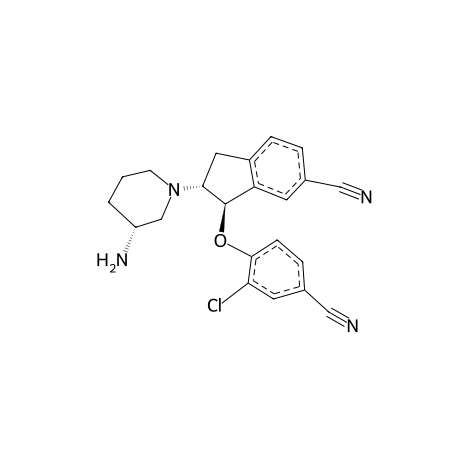 N#Cc1ccc(O[C@@H]2c3cc(C#N)ccc3C[C@H]2N2CCC[C@@H](N)C2)c(Cl)c1